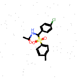 CC(=O)NC(c1ccc(Cl)cc1)S(=O)(=O)c1ccc(C)cc1